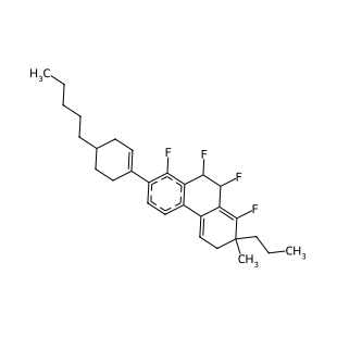 CCCCCC1CC=C(c2ccc3c(c2F)C(F)C(F)C2=C(F)C(C)(CCC)CC=C23)CC1